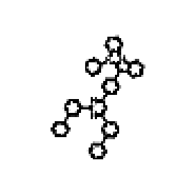 c1ccc(-c2cccc(-c3cc(-c4ccc(-c5c6ccccc6n6c7ccccc7n(-c7ccccc7)c56)cc4)nc(-c4cccc(-c5ccccc5)c4)n3)c2)cc1